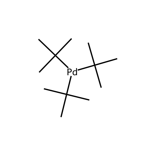 C[C](C)(C)[Pd]([C](C)(C)C)[C](C)(C)C